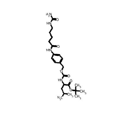 CC(C)CC(NC(=O)OCc1ccc(NC(=O)CCCCNC(N)=O)cc1)C(=O)OC(C)(C)C